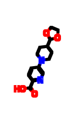 O=C(O)c1ccc(N2CCC(C3OCCO3)CC2)cn1